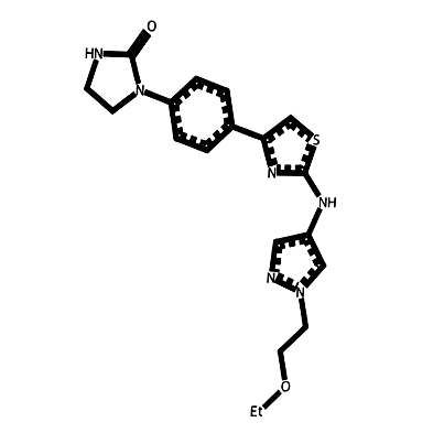 CCOCCn1cc(Nc2nc(-c3ccc(N4CCNC4=O)cc3)cs2)cn1